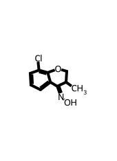 CC1COc2c(Cl)cccc2/C1=N/O